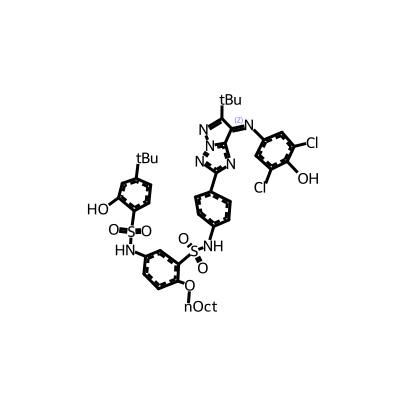 CCCCCCCCOc1ccc(NS(=O)(=O)c2ccc(C(C)(C)C)cc2O)cc1S(=O)(=O)Nc1ccc(-c2nc3n(n2)N=C(C(C)(C)C)/C3=N/c2cc(Cl)c(O)c(Cl)c2)cc1